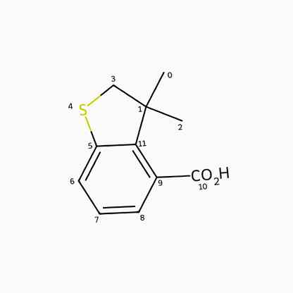 CC1(C)CSc2cccc(C(=O)O)c21